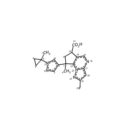 CC1(c2cnn(C3(C)CC3)c2)CC(C(=O)O)c2cnc3cc(F)nn3c21